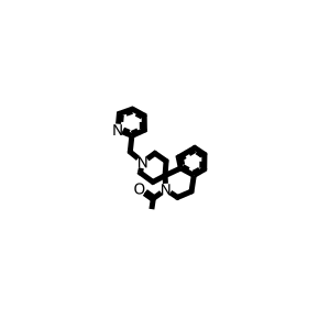 CC(=O)N1CCc2ccccc2C12CCN(Cc1ccccn1)CC2